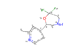 Cc1cc(C2CNCC(F)(F)O2)ccn1